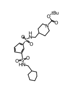 CC(C)(C)OC(=O)N1CCC(CNS(=O)(=O)c2cccc(S(=O)(=O)NCC3CCCCC3)c2)CC1